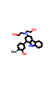 O=Cc1ccc(-c2cccc3c2[nH]c2ccccc23)cc1O.OCCNCCO